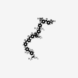 CCC(C)Oc1ccc(C(C)(C)c2ccc(Oc3ccc(C(=O)c4cccc(C(=O)c5ccc(C(CC)(CC)C(CC)(CC)Oc6ccc(C(C)(C)c7ccc(Oc8ccc(C(=O)c9cccc(S(=O)(=O)O)c9)cc8S(=O)(=O)O)cc7)cc6)cc5)c4)cc3)cc2)cc1